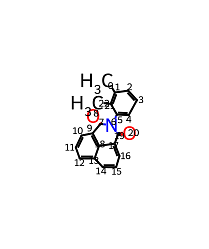 Cc1cccc(N2C(=O)c3cccc4cccc(c34)C2=O)c1C